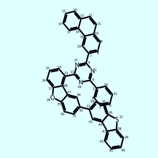 c1ccc(-c2nc(-c3ccc4ccc5ccccc5c4c3)nc(-c3cccc4oc5ccc(-c6ccc7sc8ccccc8c7c6)cc5c34)n2)cc1